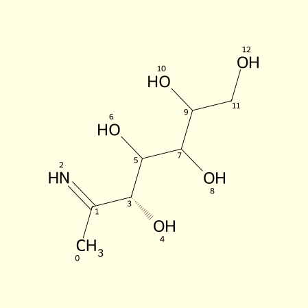 CC(=N)[C@@H](O)C(O)C(O)C(O)CO